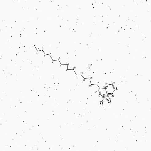 CCCCCCCCCCCCCCCCCCc1ccccc1S(=O)(=O)[O-].[Li+]